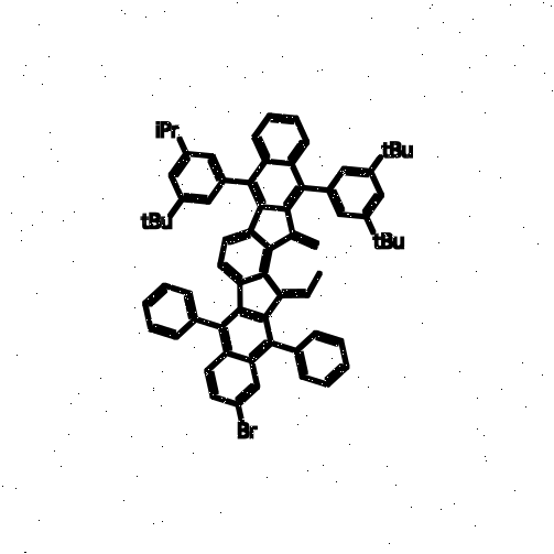 C=C1c2c(ccc3c2/C(=C\C)c2c-3c(-c3ccccc3)c3ccc(Br)cc3c2-c2ccccc2)-c2c1c(-c1cc(C(C)(C)C)cc(C(C)(C)C)c1)c1ccccc1c2-c1cc(C(C)C)cc(C(C)(C)C)c1